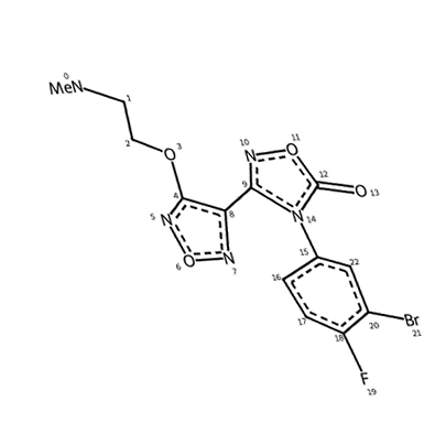 CNCCOc1nonc1-c1noc(=O)n1-c1ccc(F)c(Br)c1